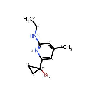 CCNc1cc(C)cc(C2(Br)CC2)n1